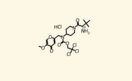 COc1coc(CN(C(=O)OCC(Cl)(Cl)Cl)C2CCN(C(=O)[C@@H](N)C(C)(C)C)CC2)cc1=O.Cl